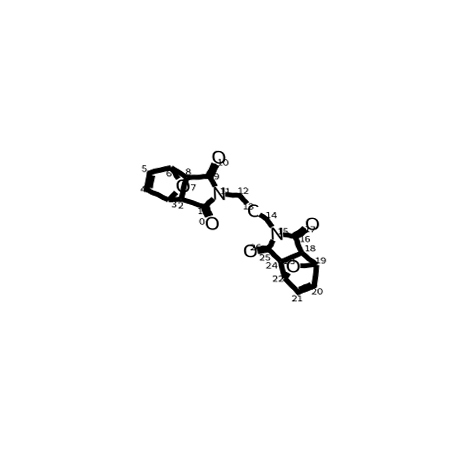 O=C1C2C3C=CC(O3)C2C(=O)N1CCCN1C(=O)C2C3C=CC(O3)C2C1=O